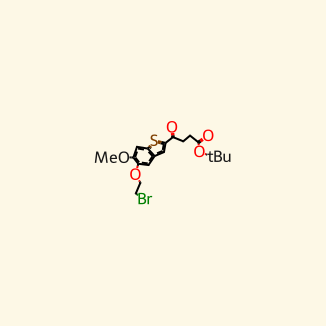 COc1cc2sc(C(=O)CCC(=O)OC(C)(C)C)cc2cc1OCCBr